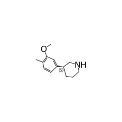 COc1cc([C@@H]2CCCNC2)ccc1C